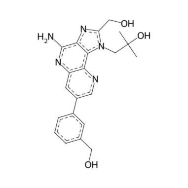 CC(C)(O)Cn1c(CO)nc2c(N)nc3cc(-c4cccc(CO)c4)cnc3c21